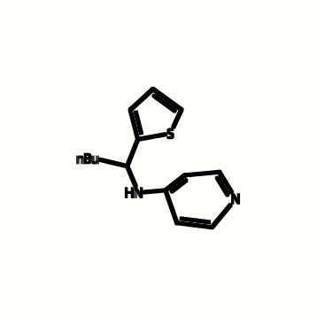 CCCCC(Nc1ccncc1)c1cccs1